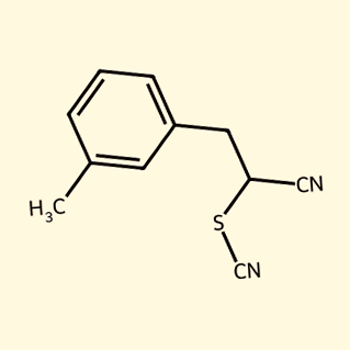 Cc1cccc(CC(C#N)SC#N)c1